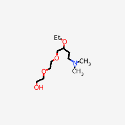 CCOC(CCN(C)C)COCCOCCO